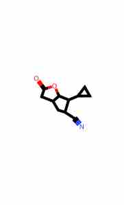 N#CC1CC2CC(=O)OC2C1C1CC1